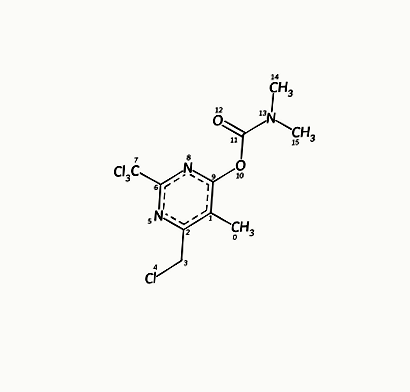 Cc1c(CCl)nc(C(Cl)(Cl)Cl)nc1OC(=O)N(C)C